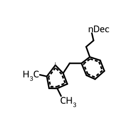 CCCCCCCCCCCCc1ccccc1Cc1[c]c(C)cc(C)c1